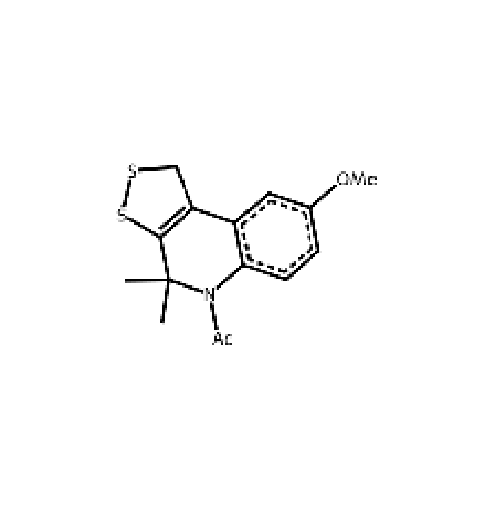 COc1ccc2c(c1)C1=C(SSC1)C(C)(C)N2C(C)=O